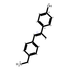 C/C(=C\c1ccc(CN)cc1)c1ccc(O)cc1